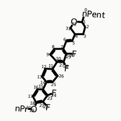 CCCCCC1CCC(/C=C/c2ccc(-c3ccc(-c4ccc(OCCC)c(F)c4F)cc3)c(F)c2F)CO1